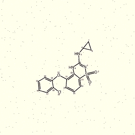 O=S1(=O)N=C(NC2CC2)Nc2c(Oc3ccccc3Cl)cccc21